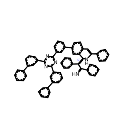 N=C(/C(=C1\NC(c2ccccc2)=Cc2ccc(-c3cccc(-c4nc(-c5cccc(-c6ccccc6)c5)nc(-c5cccc(-c6ccccc6)c5)n4)c3)cc21)c1ccccc1)c1ccccc1